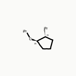 CC(C)O[C@@H]1CCC[C@H]1C(C)C